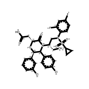 CC[C@@H](CN(c1ccc(F)cc1F)S(=O)(=O)C1CC1)N1C(=O)[C@@H](CC(=O)O)O[C@H](c2cccc(Cl)c2)C1c1ccc(Cl)cc1